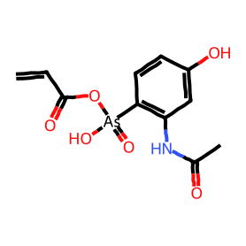 C=CC(=O)O[As](=O)(O)c1ccc(O)cc1NC(C)=O